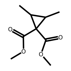 COC(=O)C1(C(=O)OC)C(C)C1C